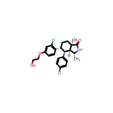 C[C@H]1NC(=O)[C@]2(C)CC[C@@H](c3ccc(OCCO)cc3Cl)[C@H](c3ccc(Cl)cc3)[C@H]12